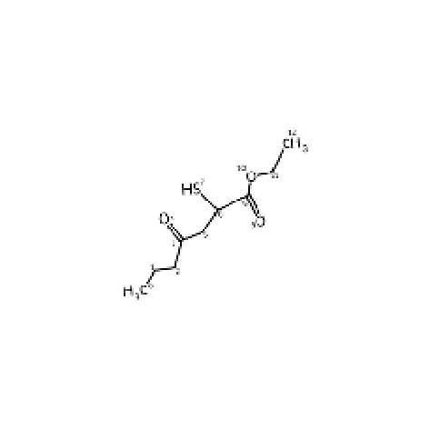 CCCC(=O)CC(S)C(=O)OCC